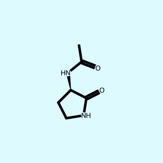 CC(=O)N[C@@H]1CCNC1=O